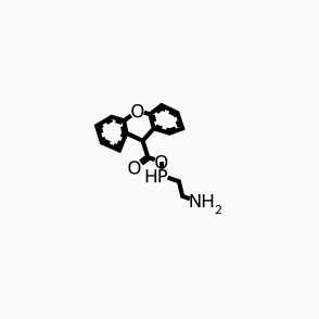 NCCPOC(=O)C1c2ccccc2Oc2ccccc21